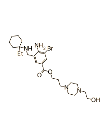 CCC1(NCc2cc(C(=O)OCCCN3CCN(CCO)CC3)cc(Br)c2N)CCCCC1